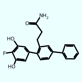 NC(=O)CCc1cc(-c2ccccc2)ccc1-c1cc(O)c(F)c(O)c1